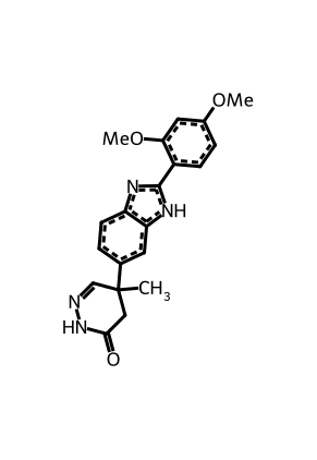 COc1ccc(-c2nc3ccc(C4(C)C=NNC(=O)C4)cc3[nH]2)c(OC)c1